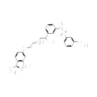 COc1cccc(S(=O)(=O)Nc2cccc(C(O)CNCCOc3ccc4c(OC)n[nH]c4c3)c2)c1